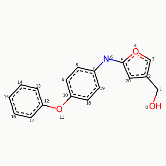 OCc1coc([N]c2ccc(Oc3ccccc3)cc2)c1